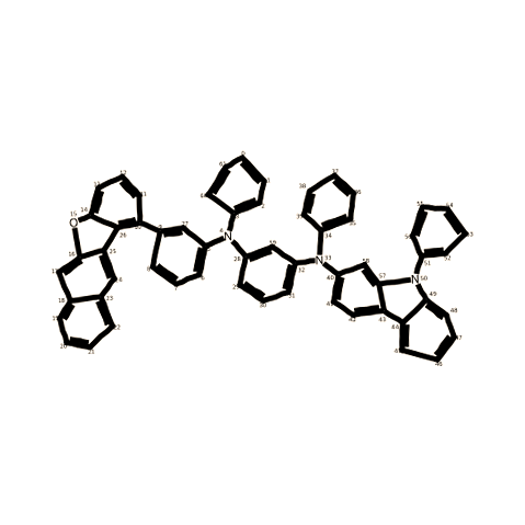 c1ccc(N(c2cccc(-c3cccc4oc5cc6ccccc6cc5c34)c2)c2cccc(N(c3ccccc3)c3ccc4c5ccccc5n(-c5ccccc5)c4c3)c2)cc1